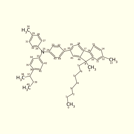 CCCCCCCCC1(C)c2cc(C)ccc2-c2ccc(-c3ccc(N(c4ccc(C)cc4)c4ccc(C(C)CC)cc4)cc3)cc21